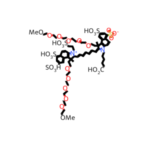 COCCOCCOCCOCCOCCOCCC1(C)C(/C=C/C=C/C=C/C=C2/N(CCCCCC(=O)O)c3ccc4c(S(=O)(=O)[O-])cc(S(=O)(=O)O)cc4c3C2(C)CCOCCOCCOCCOCCOCCOC)=[N+](CCCS(=O)(=O)O)c2ccc3c(S(=O)(=O)O)cc(S(=O)(=O)O)cc3c21